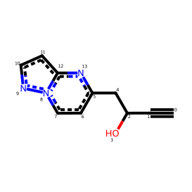 C#CC(O)Cc1ccn2nccc2n1